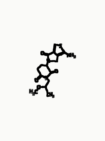 COC(C)CN1C(=O)CCC(N2Cc3c(csc3N)C2=O)C1=O